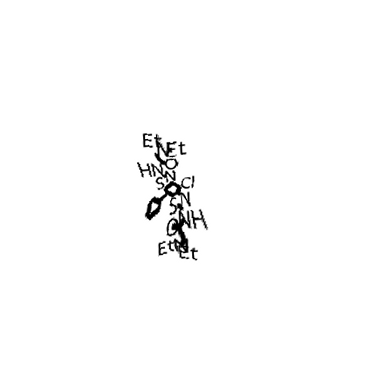 CCN(CC)CC(=O)Nc1nc2c(Cl)c3nc(NC(=O)CN(CC)CC)sc3c(-c3ccccc3)c2s1